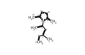 C=C/C(C)=C\C(=C)n1c(=C)ccc1=C